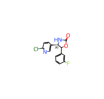 O=C1N[C@H](c2ccc(Cl)nc2)C(c2cccc(F)c2)O1